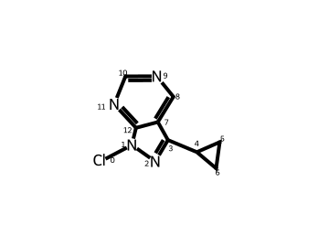 Cln1nc(C2CC2)c2cncnc21